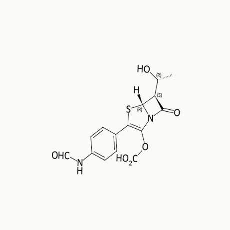 C[C@@H](O)[C@H]1C(=O)N2C(OC(=O)O)=C(c3ccc(NC=O)cc3)S[C@H]12